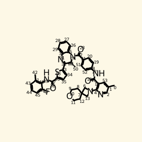 Cc1cnc(N2CC3(CCOCC3)C2)c(C(=O)Nc2ccc(C(=O)N3c4ccccc4N=C(c4ccc(C(=O)Nc5c(C)cccc5F)s4)[C@@H]3C)cc2)c1